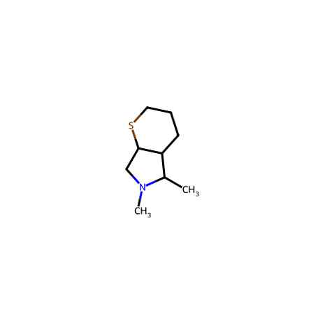 CC1C2CCCSC2CN1C